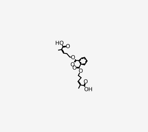 CC(=CCCOC(=O)c1ccccc1C(=O)OCCC=C(C)C(=O)O)C(=O)O